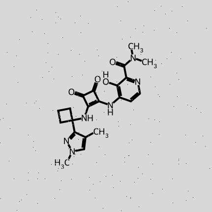 Cc1cn(C)nc1C1(Nc2c(Nc3ccnc(C(=O)N(C)C)c3O)c(=O)c2=O)CCC1